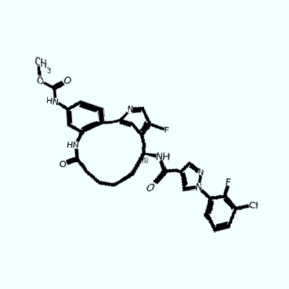 COC(=O)Nc1ccc2c(c1)NC(=O)CCCC[C@H](NC(=O)c1cnn(-c3cccc(Cl)c3F)c1)c1cc-2ncc1F